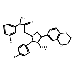 CCCCN(C(=O)CN1CC(c2ccc3c(c2)OCCO3)C(C(=O)O)C1c1ccc(F)cc1)c1cccc(Cl)c1